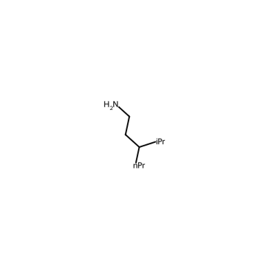 CCCC(CCN)C(C)C